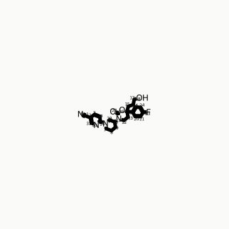 N#Cc1ccc(N2CCCC(N3CCC(CCCO)(c4ccc(F)cc4)OC3=O)C2)nc1